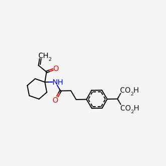 C=CC(=O)C1(NC(=O)CCc2ccc(C(C(=O)O)C(=O)O)cc2)CCCCC1